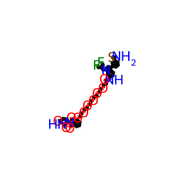 NC(=S)c1cccc(-c2cn(CC(CF)CF)c3cc(NC(=O)CCOCCOCCOCCOCCOCCOc4cccc5c4C(=O)N(C4CCC(=O)NC4=O)C5=O)ccc23)c1